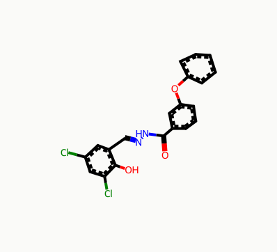 O=C(N/N=C/c1cc(Cl)cc(Cl)c1O)c1cccc(Oc2ccccc2)c1